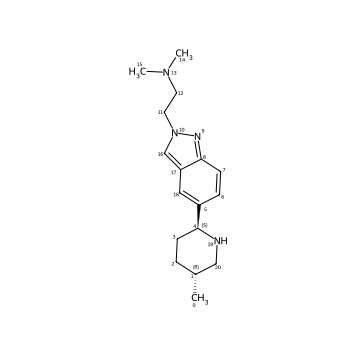 C[C@@H]1CC[C@@H](c2ccc3nn(CCN(C)C)cc3c2)NC1